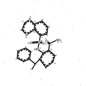 CC(c1ccccc1)c1cccc(C(N)=O)c1NS(=O)(=O)c1cccc2nccnc12